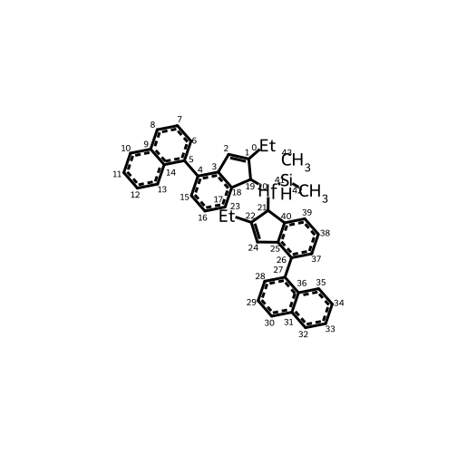 CCC1=Cc2c(-c3cccc4ccccc34)cccc2[CH]1[Hf]([CH]1C(CC)=Cc2c(-c3cccc4ccccc34)cccc21)[SiH](C)C